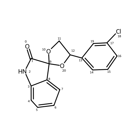 O=C1Nc2ccccc2C12OCC(c1cccc(Cl)c1)O2